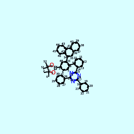 CC1(C)OB(c2ccc(-c3ccccc3-c3nc(-c4ccccc4)nc(-c4ccccc4)n3)c(-c3cc4ccccc4c4ccccc34)c2)OC1(C)C